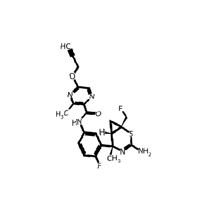 C#CCOc1cnc(C(=O)Nc2ccc(F)c([C@@]3(C)N=C(N)S[C@@]4(CF)C[C@H]43)c2)c(C)n1